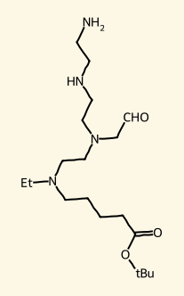 CCN(CCCCC(=O)OC(C)(C)C)CCN(CC=O)CCNCCN